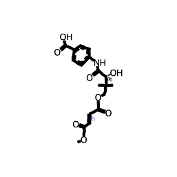 COC(=O)/C=C/C(=O)OCC(C)(C)[C@@H](O)C(=O)Nc1ccc(C(=O)O)cc1